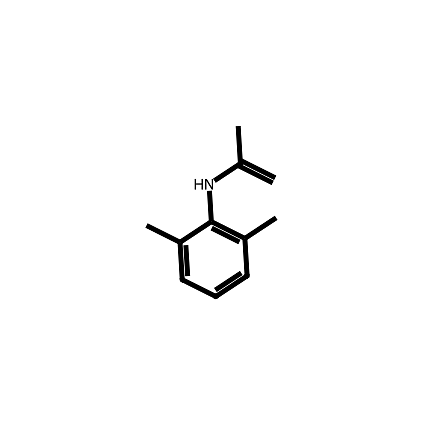 C=C(C)Nc1c(C)cccc1C